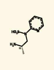 C[C@H](N)CN(c1ccccn1)S(=O)(=O)O